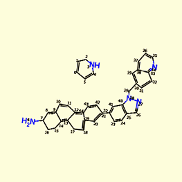 C1=CCNC=C1.NC1C=c2ccc3c(c2CC1)CC=c1cc(-c2ccc4cnn(Cc5ccc6ncccc6c5)c4c2)ccc1=3